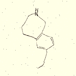 CCc1ccc2c(c1)CCCNC2